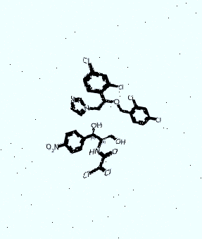 Clc1ccc(COC(Cn2ccnc2)c2ccc(Cl)cc2Cl)c(Cl)c1.O=C(N[C@H](CO)[C@H](O)c1ccc([N+](=O)[O-])cc1)C(Cl)Cl